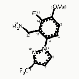 COc1ccc(-n2ccc(C(F)(F)F)n2)c(CN)c1F